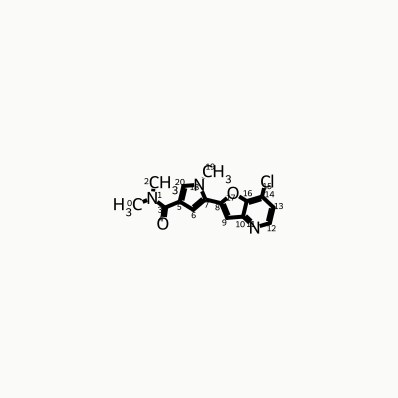 CN(C)C(=O)c1cc(-c2cc3nccc(Cl)c3o2)n(C)c1